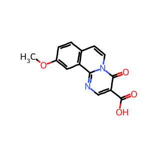 COc1ccc2ccn3c(=O)c(C(=O)O)cnc3c2c1